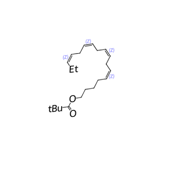 CC/C=C\C/C=C\C/C=C\C/C=C\CCCCOC(=O)C(C)(C)C